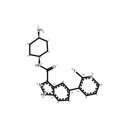 N[C@H]1CC[C@@H](NC(=O)c2n[nH]c3ccc(-c4cccnc4F)cc23)CC1